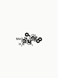 COc1nc(N)nc2c1ncn2C1O[C@H](COP(=O)(N[C@@H](C)C(=O)OCc2ccccc2)Oc2cccc3ccccc23)[C@@H](F)[C@@]1(C)O